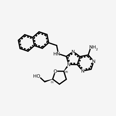 Nc1ncnc2c1nc(NCc1ccc3ccccc3c1)n2[C@H]1CC[C@@H](CO)O1